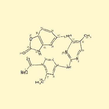 COC(=O)c1ccc(Nc2ncc(C)c(Nc3ccc4oc(=O)[nH]c4c3)n2)cc1C